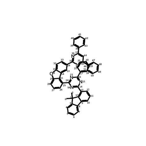 CC1(C)c2ccccc2-c2cccc(-c3nc(-c4ccccc4)nc(-c4cccc5oc6ccc(-c7nc(-c8ccccc8)cc(-c8ccccc8)n7)cc6c45)n3)c21